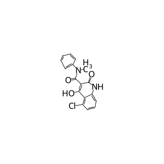 CN(C(=O)c1c(O)c2c(Cl)cccc2[nH]c1=O)c1ccccc1